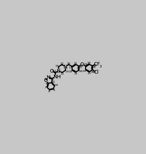 O=C(Nc1noc2ccccc12)N1CCN(Cc2cccc(Oc3ccc(Cl)c(C(F)(F)F)c3)c2)CC1